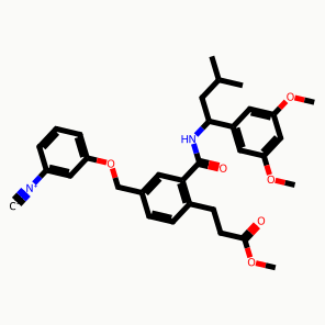 [C-]#[N+]c1cccc(OCc2ccc(CCC(=O)OC)c(C(=O)NC(CC(C)C)c3cc(OC)cc(OC)c3)c2)c1